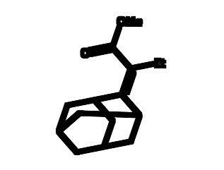 CCC(C(=O)OC)=C1C2CC3CC(C2)CC1C3